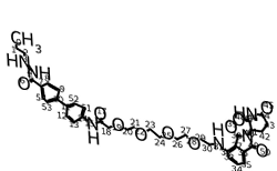 CCCNNC(=O)c1ccc(-c2ccc(NC(=O)COCCOCCOCCOCCNc3cccc4c3C(=O)N(C3CCC(=O)NC3=O)C4=O)cc2)cc1